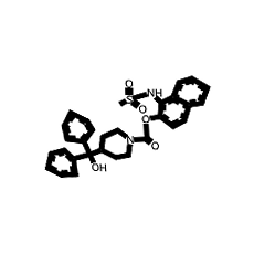 CS(=O)(=O)Nc1c(OC(=O)N2CCC(C(O)(c3ccccc3)c3ccccc3)CC2)ccc2ccccc12